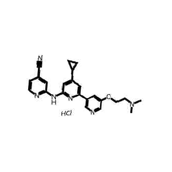 CN(C)CCOc1cncc(-c2cc(C3CC3)cc(Nc3cc(C#N)ccn3)n2)c1.Cl